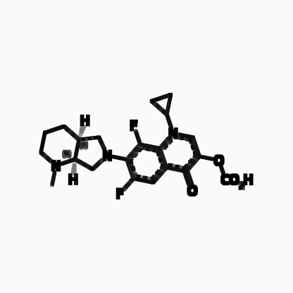 CN1CCC[C@H]2CN(c3c(F)cc4c(=O)c(OC(=O)O)cn(C5CC5)c4c3F)C[C@H]21